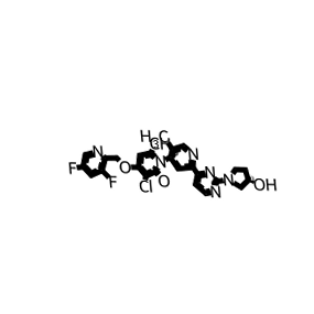 Cc1cnc(-c2ccnc(N3CC[C@@H](O)C3)n2)cc1-n1c(C)cc(OCc2ncc(F)cc2F)c(Cl)c1=O